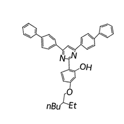 CCCCC(CC)COc1ccc(-c2nc(-c3ccc(-c4ccccc4)cc3)cc(-c3ccc(-c4ccccc4)cc3)n2)c(O)c1